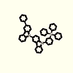 c1ccc(-c2ccc3c(c2)c2ccccc2n3-c2ccc3c(c2)c2ccccc2n3-c2cccc([Si](c3ccccc3)(c3ccccc3)c3ccccc3)c2)cc1